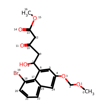 COCOc1cc(C(O)CC(=O)CC(=O)OC)c2c(Br)cccc2c1